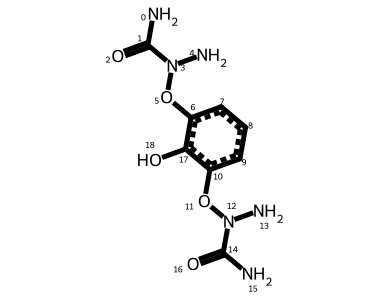 NC(=O)N(N)Oc1cccc(ON(N)C(N)=O)c1O